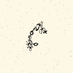 Cn1c(=O)nc2n(C3CCCC3)nc(-c3ccc(-c4ccc(CN5CCC(NC(=O)OC(C)(C)C)CC5)cc4)o3)nc-2c1=O